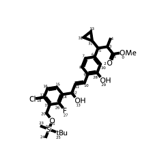 COC(=O)C(C)C(c1ccc(C=CC(O)c2ccc(Cl)c(CO[Si](C)(C)C(C)(C)C)c2F)c(O)c1)C1CC1